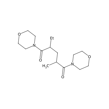 CCC(CC(C)C(=O)N1CCOCC1)C(=O)N1CCOCC1